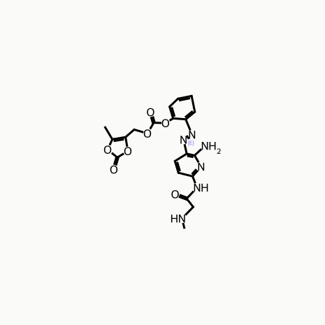 CNCC(=O)Nc1ccc(/N=N/c2ccccc2OC(=O)OCc2oc(=O)oc2C)c(N)n1